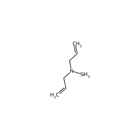 C=CCN([SiH3])CC=C